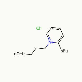 CCCCCCCCCCC[n+]1ccccc1CCCC.[Cl-]